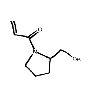 C=CC(=O)N1CCCC1CO